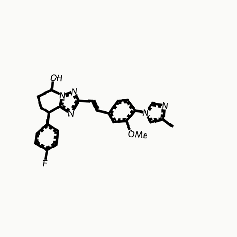 COc1cc(/C=C/c2nc3n(n2)C(O)CCC3c2ccc(F)cc2)ccc1-n1cnc(C)c1